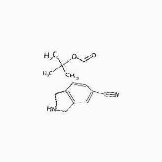 CC(C)(C)OC=O.N#Cc1ccc2c(c1)CNC2